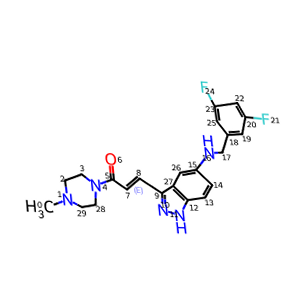 CN1CCN(C(=O)/C=C/c2n[nH]c3ccc(NCc4cc(F)cc(F)c4)cc23)CC1